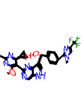 COc1nc(C)nc(C2CC2)c1-c1ncc2[nH]cc(C(O)c3ccc(-c4nc(C(F)(F)F)cn4C)cc3)c2n1